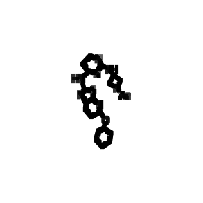 CC(=O)N1CC(Nc2nccc(Nc3nc4ccc(Oc5ccccc5)nc4s3)n2)C1